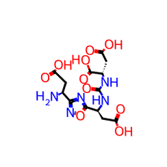 N[C@@H](CC(=O)O)c1noc([C@H](CC(=O)O)NC(=O)N[C@@H](CC(=O)O)C(=O)O)n1